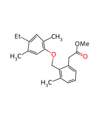 CCc1cc(C)c(OCc2c(C)cccc2CC(=O)OC)cc1C